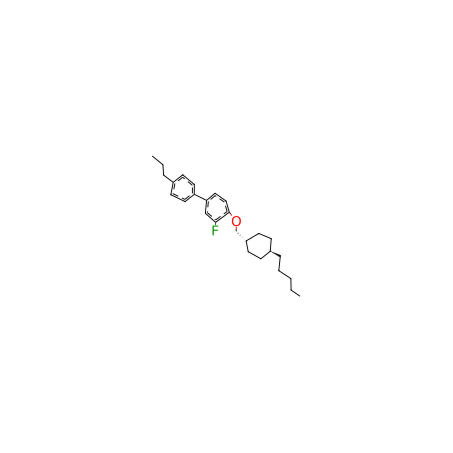 CCCCC[C@H]1CC[C@H](COc2ccc(-c3ccc(CCC)cc3)cc2F)CC1